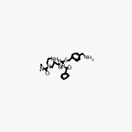 CN(C)C(=O)N1CCNC(c2nc(SCc3ccc(CN)cc3)n(C(=O)c3ccccc3)n2)C1